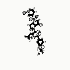 CC(C)CC(NC(=O)c1ccc(OC(F)(F)F)cc1)C(=O)N1CCC2C1C(=O)CN2S(=O)(=O)c1ccc[n+]([O-])c1